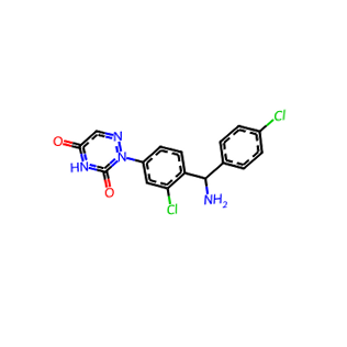 NC(c1ccc(Cl)cc1)c1ccc(-n2ncc(=O)[nH]c2=O)cc1Cl